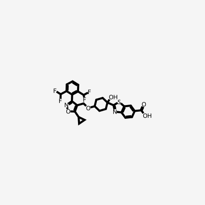 O=C(O)c1ccc2nc(C3(O)CCC(OCc4c(-c5c(C(F)F)cccc5C(F)F)noc4C4CC4)CC3)sc2c1